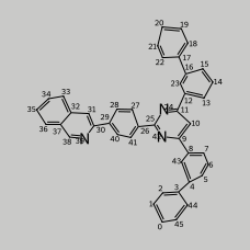 c1ccc(-c2cccc(-c3cc(-c4cccc(-c5ccccc5)c4)nc(-c4ccc(-c5cc6ccccc6cn5)cc4)n3)c2)cc1